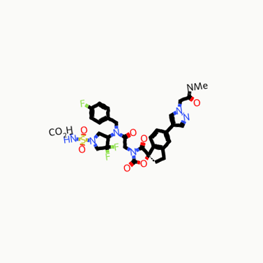 CNC(=O)Cn1cc(-c2ccc3c(c2)CC[C@@]32OC(=O)N(CC(=O)N(Cc3ccc(F)cc3)C3CN(S(=O)(=O)NC(=O)O)CC3(F)F)C2=O)cn1